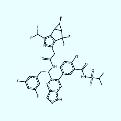 CC(C)S(=O)(=O)NC(=O)c1cc(-c2cc3[nH]ncc3nc2[C@H](Cc2cc(F)cc(F)c2)NC(=O)Cn2nc(C(F)F)c3c2C(F)(F)C2C3[C@H]2C)ccc1Cl